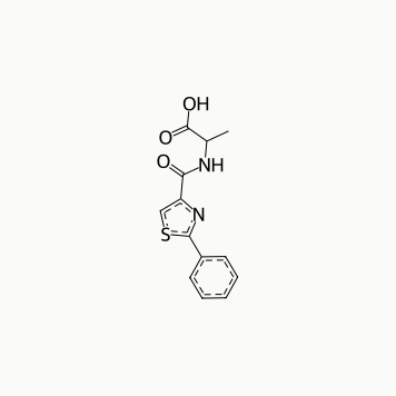 CC(NC(=O)c1csc(-c2ccccc2)n1)C(=O)O